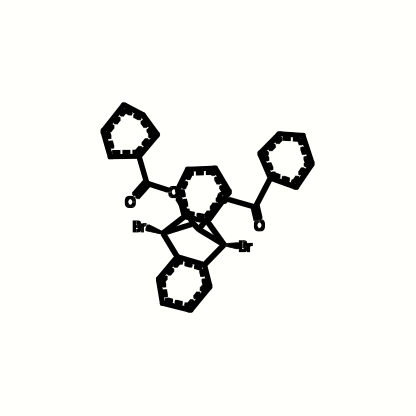 O=C(OC1C(OC(=O)c2ccccc2)[C@]2(Br)c3ccccc3[C@@]1(Br)c1ccccc12)c1ccccc1